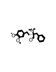 COc1ccc(CC[C@@](C=O)(Cc2ccccc2)N(C)C)cc1OC